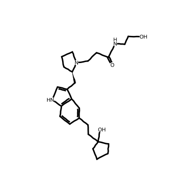 O=C(CCN1CCC[C@@H]1Cc1c[nH]c2ccc(CCC3(O)CCCC3)cc12)NCCO